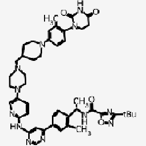 Cc1cc(-c2cc(Nc3ccc(N4CCN(CC5CCN(c6ccc(N7CCC(=O)NC7=O)c(C)c6)CC5)CC4)cn3)ncn2)ccc1[C@@H](C)NC(=O)c1nc(C(C)(C)C)no1